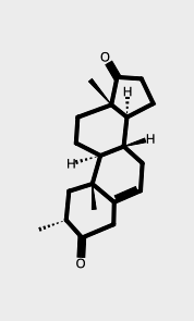 C[C@@H]1C[C@@]2(C)C(=CC[C@@H]3[C@@H]2CC[C@]2(C)C(=O)CC[C@@H]32)CC1=O